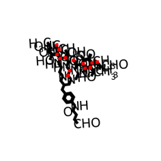 C/C(O)=C(\C=C/N(C)C=O)C(=O)NCCN(CCNC(=O)C(/C=C\N(C)C=O)=C(/C)O)CC(Cc1ccc(NC(=O)CCC=O)cc1)CN(CCNC(=O)c1ccn(C)c(=O)c1O)CCNC(=O)c1ccn(C)c(=O)c1O